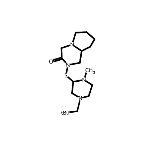 CN1CCN(CC(C)(C)C)CC1SN1CC2CCCCN2CC1=O